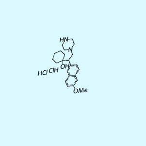 COc1ccc2cc(C(CN3CCNCC3)C3(O)CCCCC3)ccc2c1.Cl.Cl